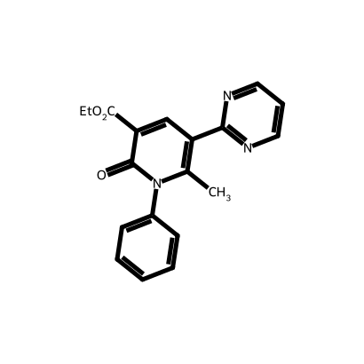 CCOC(=O)c1cc(-c2ncccn2)c(C)n(-c2ccccc2)c1=O